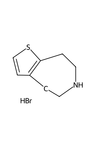 Br.c1cc2c(s1)CCNCC2